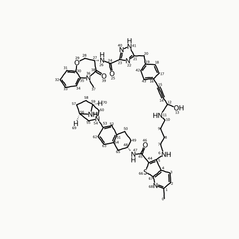 Cc1ccc2c(NCCCCNC(O)C#Cc3ccc(Cc4nc(C(=O)N[C@H]5COc6ccccc6N(C)C5=O)n[nH]4)cc3)c(C(=O)N[C@H]3CCc4cc(N5C[C@H]6CC[C@@H](C5)N6)ccc4C3)sc2n1